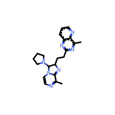 CC1=NC=CN2C1=NC(CCc1nc(C)c3ncccc3n1)C2N1CCCC1